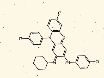 Clc1ccc(Nc2cc3nc4cc(Cl)ccc4n(-c4ccc(Cl)cc4)c-3c/c2=N\C2CCCCC2)cc1